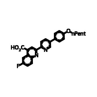 CCCCCOc1ccc(-c2ccc(-c3cc(C(=O)O)c4cc(F)ccc4n3)nc2)cc1